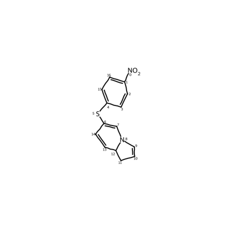 O=[N+]([O-])c1ccc(SC2=CN3C=CCC3C=C2)cc1